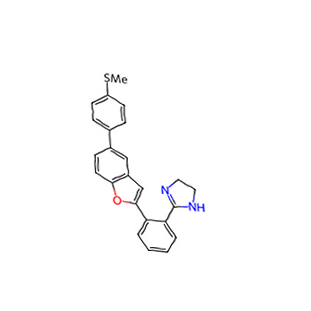 CSc1ccc(-c2ccc3oc(-c4ccccc4C4=NCCN4)cc3c2)cc1